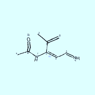 C=C(C)/C(=C\C=N)NC(C)=O